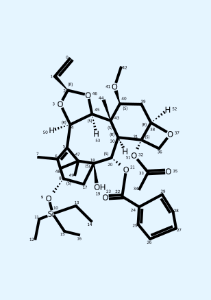 C=C[C@@H]1O[C@@H]2C3=C(C)[C@@H](O[Si](CC)(CC)CC)C[C@@](O)([C@@H](OC(=O)c4ccccc4)[C@@H]4[C@]5(OC(C)=O)CO[C@@H]5C[C@H](OC)[C@@]4(C)[C@@H]2O1)C3(C)C